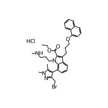 CCOC(=O)c1c(CCCOc2cccc3ccccc23)c2cccc(-c3c(CBr)nn(C)c3C)c2n1CCCNC.Cl